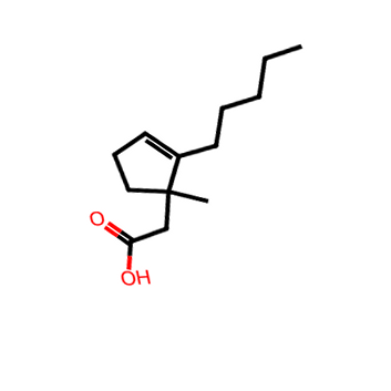 CCCCCC1=CCCC1(C)CC(=O)O